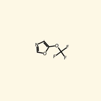 FC(F)(F)Oc1[c]nco1